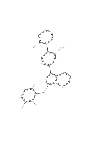 Cc1ccncc1-c1cnc(-c2nc(Cc3c(F)ccc(F)c3Cl)n3ncccc23)nc1N